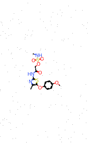 CNS(=O)(=O)OCC(=O)Nc1nc(C)c(Oc2ccc(OC)cc2)s1